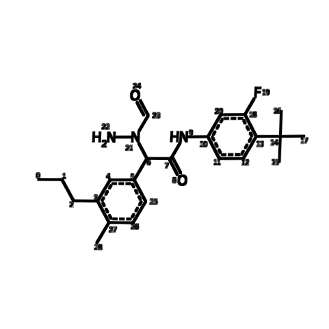 CCCc1cc(C(C(=O)Nc2ccc(C(C)(C)C)c(F)c2)N(N)C=O)ccc1C